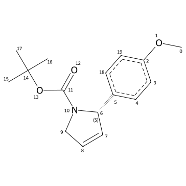 COc1ccc([C@@H]2C=CCN2C(=O)OC(C)(C)C)cc1